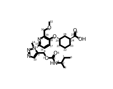 CCC(C)NC(=O)OCC1=CN=N[N+]1(C)c1ccc(O[C@H]2CCC[C@H](C(=O)O)C2)c(COC)n1